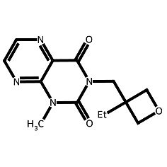 CCC1(Cn2c(=O)c3nccnc3n(C)c2=O)COC1